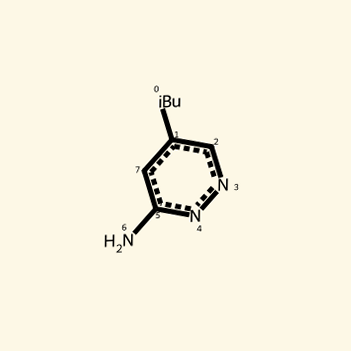 CCC(C)c1cnnc(N)c1